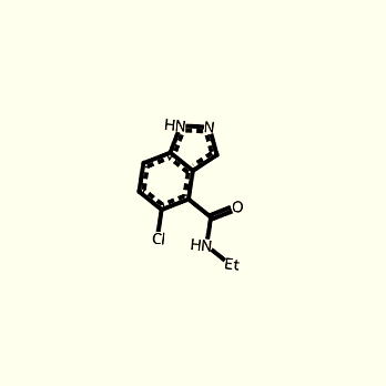 CCNC(=O)c1c(Cl)ccc2[nH]ncc12